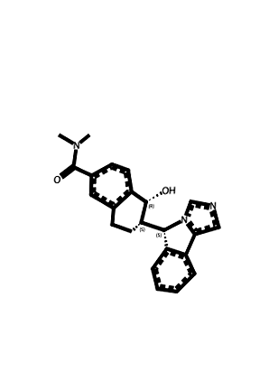 CN(C)C(=O)c1ccc2c(c1)CC[C@@H]([C@H]1c3ccccc3-c3cncn31)[C@H]2O